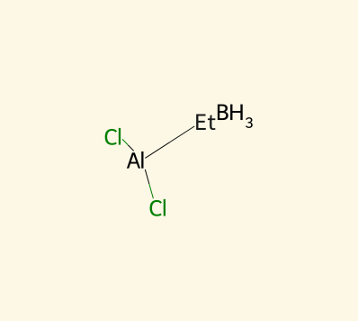 B.C[CH2][Al]([Cl])[Cl]